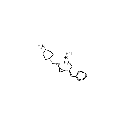 CC/C(=C\c1ccccc1)[C@@H]1C[C@H]1NC[C@H]1CC[C@H](N)CC1.Cl.Cl